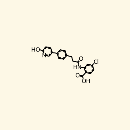 O=C(CCc1ccc(-c2ccc(O)nc2)cc1)Nc1cc(Cl)ccc1C(=O)O